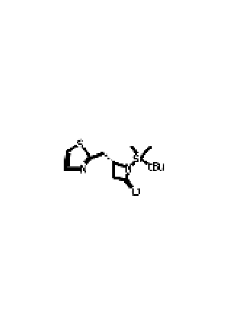 CC(C)(C)[Si](C)(C)N1C(=O)C[C@@H]1Cc1nccs1